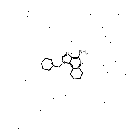 Nc1nc2c(c3c1ncn3CC1CCCCC1)CCCC2